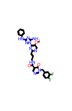 COc1cnc(/C=C/CNC(=O)c2cncn(Cc3ccc(F)c(F)c3)c2=O)nc1-n1nc(Nc2ccccc2)nc1N